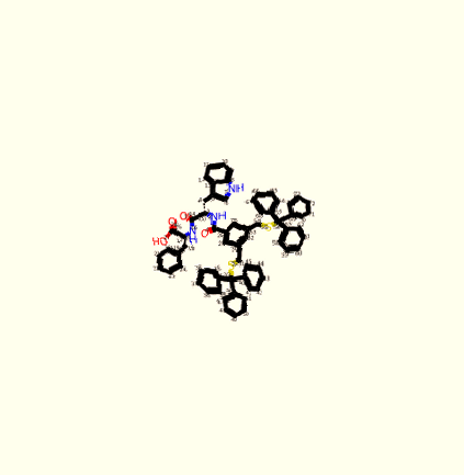 O=C(N[C@@H](Cc1c[nH]c2ccccc12)C(=O)N[C@@H](Cc1ccccc1)C(=O)O)c1cc(CSC(c2ccccc2)(c2ccccc2)c2ccccc2)cc(CSC(c2ccccc2)(c2ccccc2)c2ccccc2)c1